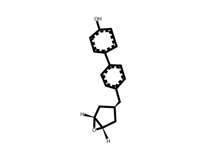 Oc1ccc(-c2ccc(C[C@H]3C[C@@H]4O[C@@H]4C3)cc2)cc1